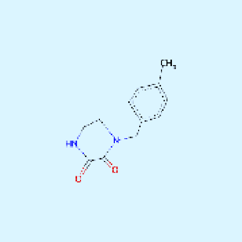 Cc1ccc(CN2CCNC(=O)C2=O)cc1